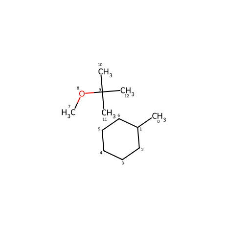 CC1CCCCC1.COC(C)(C)C